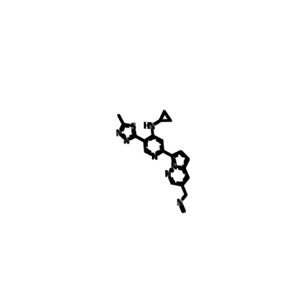 C=NCc1cnn2c(-c3cc(NC4CC4)c(-c4nnc(C)s4)cn3)ccc2c1